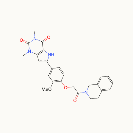 COc1cc(-c2cc3c([nH]2)c(=O)n(C)c(=O)n3C)ccc1OCC(=O)N1CCc2ccccc2C1